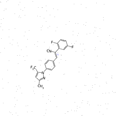 [C-]#[N+]/C(=C\c1ccc(-n2nc(C)cc2C(F)(F)F)cc1)c1cc(F)ccc1F